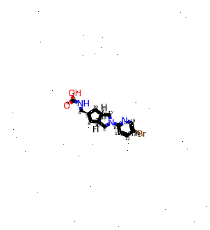 O=C(O)NC[C@@H]1C[C@@H]2CN(c3ccc(Br)cn3)C[C@@H]2C1